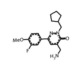 COc1ccc(-c2cc(CN)c(=O)n(CC3CCCC3)n2)cc1F